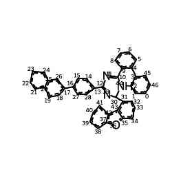 c1ccc(-c2ccccc2C2=NC(c3ccc(-c4ccc5ccccc5c4)cc3)=NC(c3cccc4oc5ccccc5c34)N2)cc1